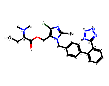 CCCCc1nc(Cl)c(COC(=O)[C@@H](CC(=O)O)N(C)C)n1Cc1ccc(-c2ccccc2-c2nn[nH]n2)cc1